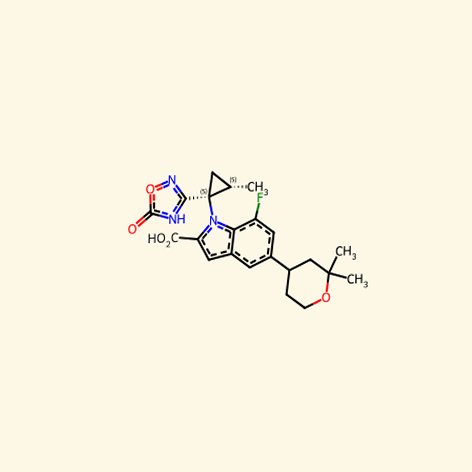 C[C@H]1C[C@]1(c1noc(=O)[nH]1)n1c(C(=O)O)cc2cc(C3CCOC(C)(C)C3)cc(F)c21